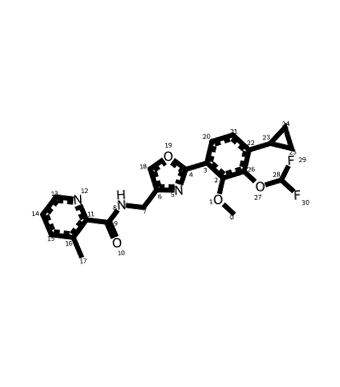 COc1c(-c2nc(CNC(=O)c3ncccc3C)co2)ccc(C2CC2)c1OC(F)F